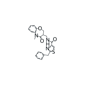 CN1C(=O)C(CNC(=O)c2csc(Cc3ccccc3)n2)COc2ccccc21